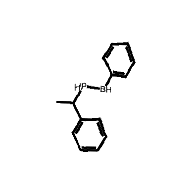 CC(PBc1ccccc1)c1ccccc1